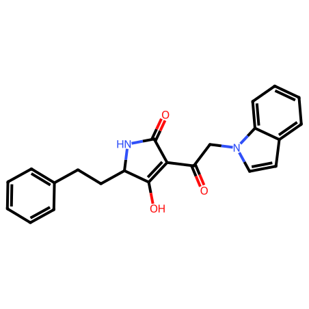 O=C(Cn1ccc2ccccc21)C1=C(O)C(CCc2ccccc2)NC1=O